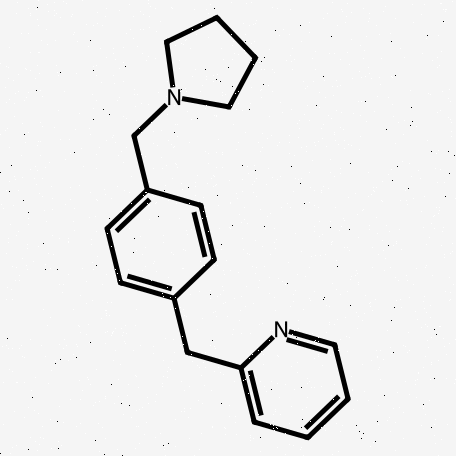 c1ccc(Cc2ccc(CN3CCCC3)cc2)nc1